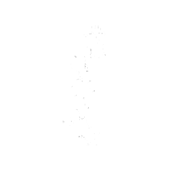 CS(=O)(=O)c1cccc(-c2cccc(N3CCC(CCN(Cc4cscn4)C(=O)O)CC3)n2)c1